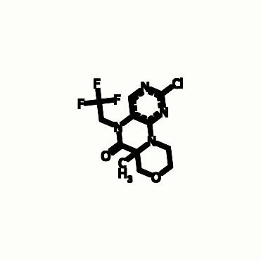 CC12COCCN1c1nc(Cl)ncc1N(CC(F)(F)F)C2=O